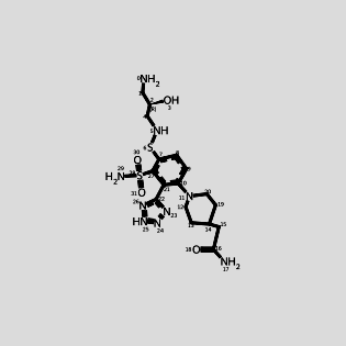 NC[C@@H](O)CNSc1ccc(N2CCC(CC(N)=O)CC2)c(-c2nn[nH]n2)c1S(N)(=O)=O